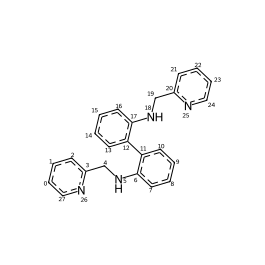 c1ccc(CNc2ccccc2-c2ccccc2NCc2ccccn2)nc1